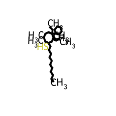 CCCCCCCCCCCC1(S)CC(C)(C)CCC(CCC)(C2(C)CCCCC2)C(C)(CCC)C1